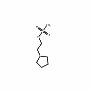 CS(=O)(=O)NCCN1CCCC1